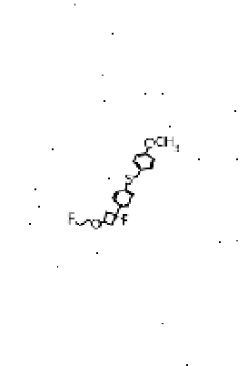 COc1ccc(CSc2ccc([C@]3(F)C[C@@H](OCCF)C3)cc2)cc1